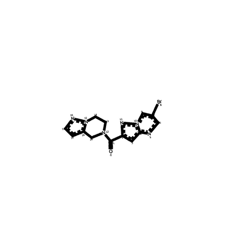 O=C(c1cc2ncc(Br)cn2n1)N1CCn2nccc2C1